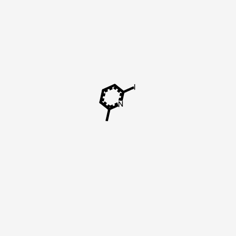 Cc1cccc(I)n1